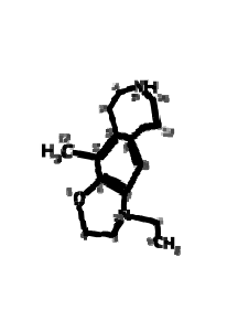 CCN1CCOc2c1cc1c(c2C)CCNCC1